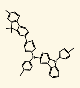 Cc1ccc(N(c2ccc(-c3ccc4c(c3)C(C)(C)c3cc(C)ccc3-4)cc2)c2ccc3c(c2)c2ccccc2n3-c2ccc(C)cc2)cc1